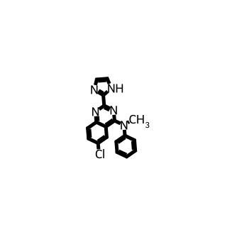 CN(c1ccccc1)c1nc(-c2ncc[nH]2)nc2ccc(Cl)cc12